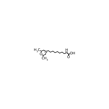 CC1CN(CCCCCCCCNC(=O)O)CC(C)O1